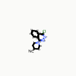 N#CC1CCN(c2nnc(Cl)c3ccccc23)CC1